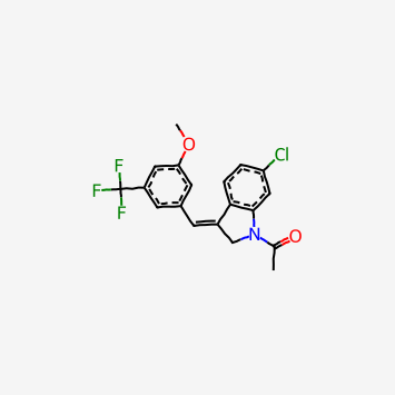 COc1cc(/C=C2/CN(C(C)=O)c3cc(Cl)ccc32)cc(C(F)(F)F)c1